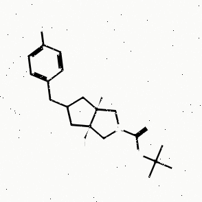 CC(C)(C)OC(=O)N1C[C@H]2CC(Cc3ccc(Cl)cc3)C[C@H]2C1